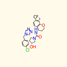 O=C(N[C@H]1CCOc2cc(C(F)(F)F)ccc21)N1C[C@H](O)C[C@@H]1c1nncn1Cc1ccc(Cl)cc1